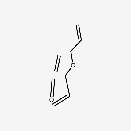 C=C.C=CCOCC=C.C=O